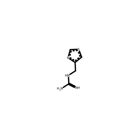 N=C(N)NCc1cscn1